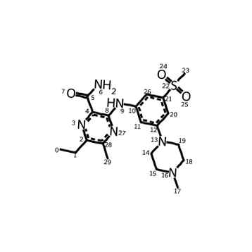 CCc1nc(C(N)=O)c(Nc2cc(N3CCN(C)CC3)cc(S(C)(=O)=O)c2)nc1C